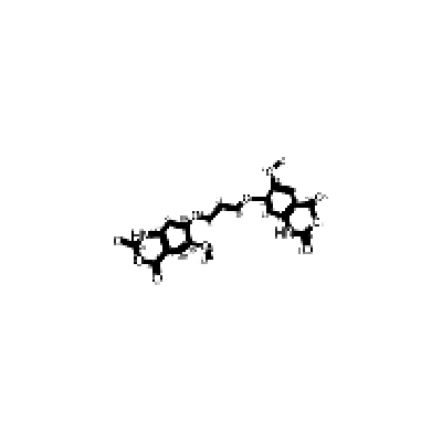 COc1cc2c(=O)oc(=O)[nH]c2cc1OCCCOc1cc2[nH]c(=O)oc(=O)c2cc1OC